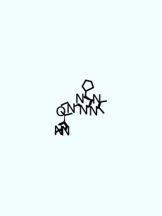 Cc1nc2nc(N3CCO[C@H](c4cnn(C)c4)C3)nc(C3CCCC3)c2nc1C